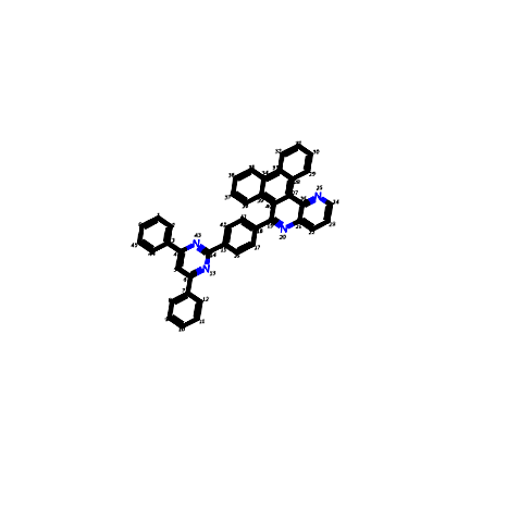 c1ccc(-c2cc(-c3ccccc3)nc(-c3ccc(-c4nc5cccnc5c5c6ccccc6c6ccccc6c45)cc3)n2)cc1